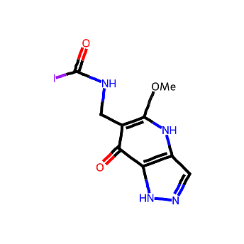 COc1[nH]c2cn[nH]c2c(=O)c1CNC(=O)I